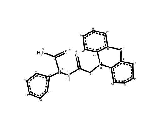 NC(=S)N(NC(=O)CN1c2ccccc2Sc2ccccc21)c1ccccc1